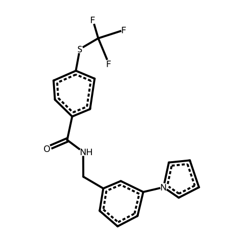 O=C(NCc1cccc(-n2cccc2)c1)c1ccc(SC(F)(F)F)cc1